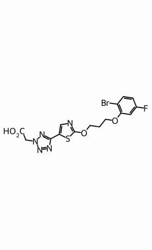 O=C(O)Cn1nnc(-c2cnc(OCCCOc3cc(F)ccc3Br)s2)n1